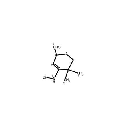 CCNC1=CC(C=O)CCC1(C)C